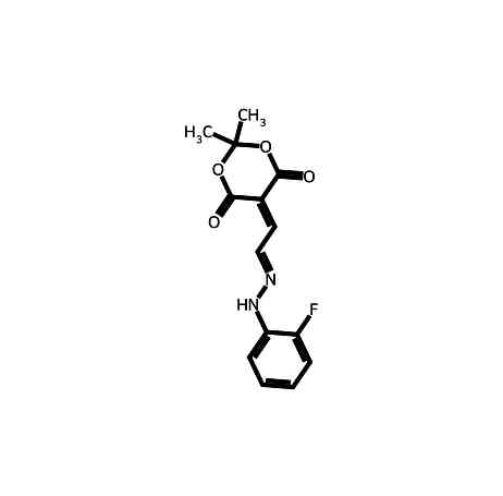 CC1(C)OC(=O)C(=CC=NNc2ccccc2F)C(=O)O1